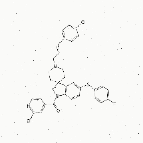 O=C(c1ccnc(Cl)c1)N1CC2(CCN(CC=Cc3ccc(Cl)cc3)CC2)c2cc(Sc3ccc(F)cc3)ccc21